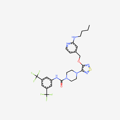 CCCCNc1cc(COc2nsnc2N2CCN(C(=O)Nc3cc(C(F)(F)F)cc(C(F)(F)F)c3)CC2)ccn1